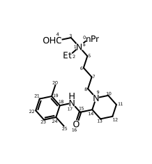 CCC[N+](CC)(CC=O)CCCCN1CCCCC1C(=O)Nc1c(C)cccc1C